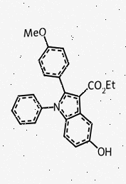 CCOC(=O)c1c(-c2ccc(OC)cc2)n(-c2ccccc2)c2ccc(O)cc12